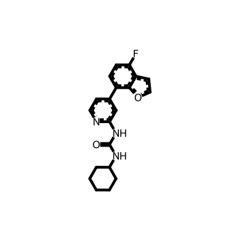 O=C(Nc1cc(-c2ccc(F)c3ccoc23)ccn1)NC1CCCCC1